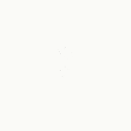 ClCc1cc(-c2ccccc2)c[nH]1